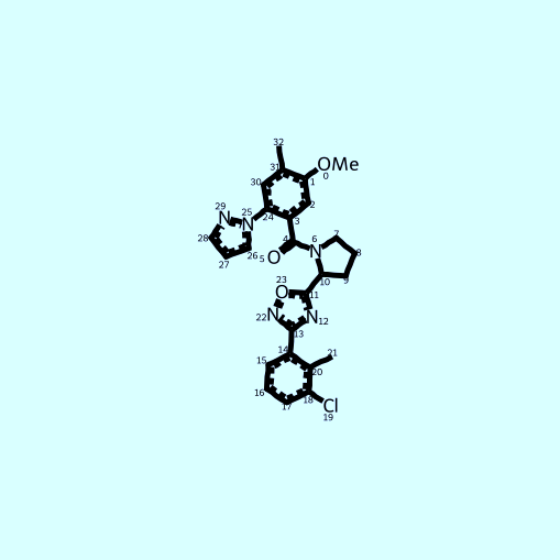 COc1cc(C(=O)N2CCCC2c2nc(-c3cccc(Cl)c3C)no2)c(-n2cccn2)cc1C